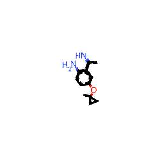 CC(=N)c1cc(OC2(C)CC2)ccc1N